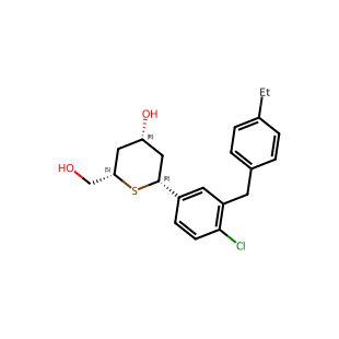 CCc1ccc(Cc2cc([C@H]3C[C@@H](O)C[C@@H](CO)S3)ccc2Cl)cc1